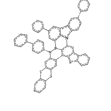 c1ccc(-c2ccc(N3B4c5c(cc6c(sc7ccccc76)c5-c5cc6c(cc53)Sc3ccccc3S6)-n3c5ccc(-c6ccccc6)cc5c5cc(-c6ccccc6)cc4c53)cc2)cc1